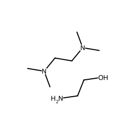 CN(C)CCN(C)C.NCCO